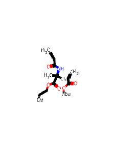 C=CC(=O)NC(C)(C)C(=O)OCCC#N.C=CC(=O)OCCCC